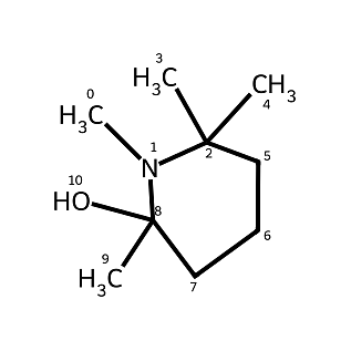 CN1C(C)(C)CCCC1(C)O